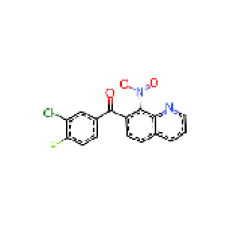 O=C(c1ccc(F)c(Cl)c1)c1ccc2cccnc2c1[N+](=O)[O-]